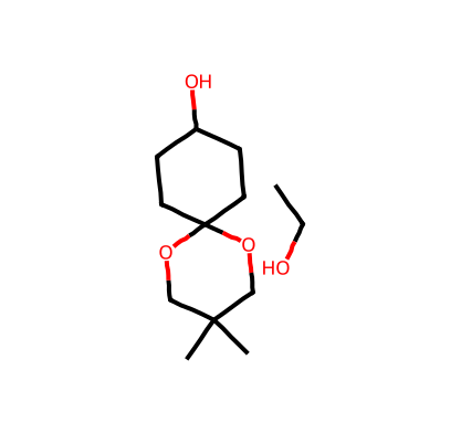 CC1(C)COC2(CCC(O)CC2)OC1.CCO